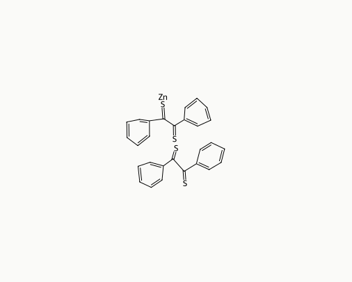 S=C(C(=S)c1ccccc1)c1ccccc1.S=C(C(=S)c1ccccc1)c1ccccc1.[Zn]